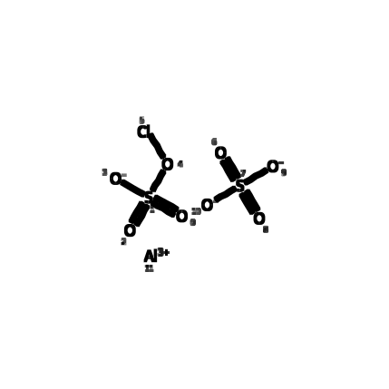 O=S(=O)([O-])OCl.O=S(=O)([O-])[O-].[Al+3]